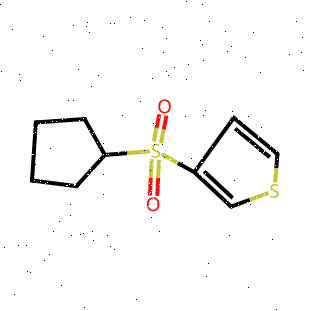 O=S(=O)(c1ccsc1)C1CCCC1